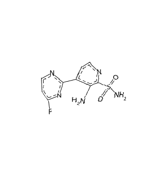 Nc1c(-c2nccc(F)n2)ccnc1S(N)(=O)=O